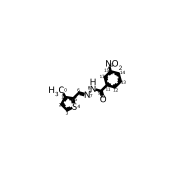 Cc1ccsc1/C=N/NC(=O)c1cccc([N+](=O)[O-])c1